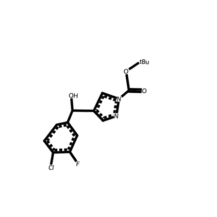 CC(C)(C)OC(=O)n1cc(C(O)c2ccc(Cl)c(F)c2)cn1